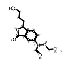 CCCCC1OC(=O)c2cc(N(C=O)OCC)ccc21